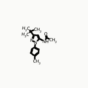 CC(=O)Nc1cc(C(C)(C)C)nn1-c1ccc(C)cc1